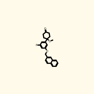 COC1(c2cc(F)cc(OCc3ccc4ccccc4c3)c2)CCC(=O)CC1